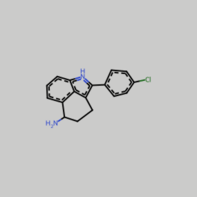 NC1CCc2c(-c3ccc(Cl)cc3)[nH]c3cccc1c23